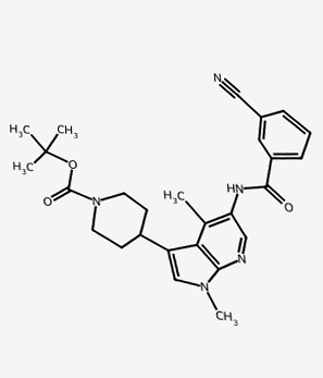 Cc1c(NC(=O)c2cccc(C#N)c2)cnc2c1c(C1CCN(C(=O)OC(C)(C)C)CC1)cn2C